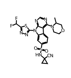 CC1COCCN1c1ncnc2c1c1ccc(S(=O)(=O)NC3(C#N)CC3)cc1n2-c1nnc(C(F)F)s1